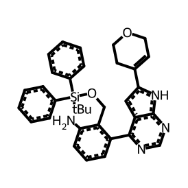 CC(C)(C)[Si](OCc1c(N)cccc1-c1ncnc2[nH]c(C3=CCOCC3)cc12)(c1ccccc1)c1ccccc1